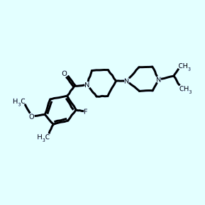 COc1cc(C(=O)N2CCC(N3CCN(C(C)C)CC3)CC2)c(F)cc1C